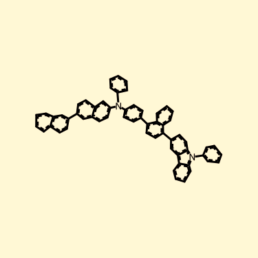 c1ccc(N(c2ccc(-c3ccc(-c4ccc5c(c4)c4ccccc4n5-c4ccccc4)c4ccccc34)cc2)c2ccc3cc(-c4ccc5ccccc5c4)ccc3c2)cc1